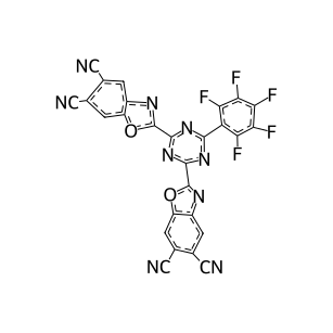 N#Cc1cc2nc(-c3nc(-c4nc5cc(C#N)c(C#N)cc5o4)nc(-c4c(F)c(F)c(F)c(F)c4F)n3)oc2cc1C#N